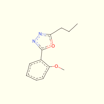 CCCc1nnc(-c2ccccc2OC)o1